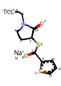 O=C([O-])CN1CCC(SC(=O)c2cccs2)C1=O.[Na+]